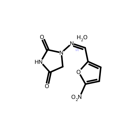 O.O=C1CN(/N=C\c2ccc([N+](=O)[O-])o2)C(=O)N1